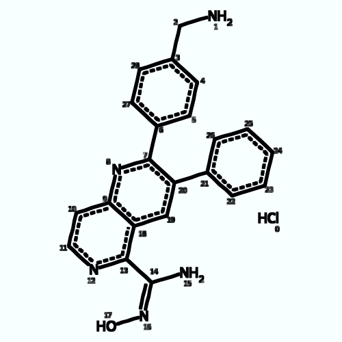 Cl.NCc1ccc(-c2nc3ccnc(/C(N)=N\O)c3cc2-c2ccccc2)cc1